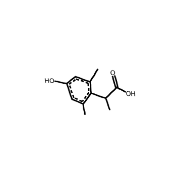 Cc1cc(O)cc(C)c1C(C)C(=O)O